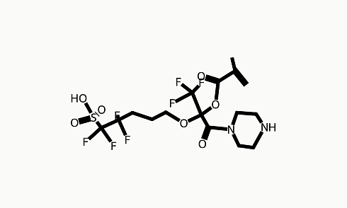 C=C(C)C(=O)OC(OCCCC(F)(F)C(F)(F)S(=O)(=O)O)(C(=O)N1CCNCC1)C(F)(F)F